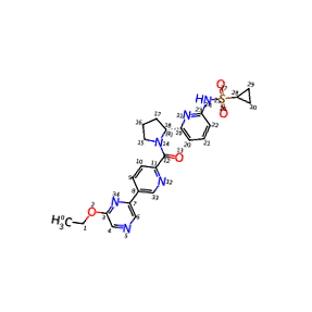 CCOc1cncc(-c2ccc(C(=O)N3CCC[C@@H]3c3cccc(NS(=O)(=O)C4CC4)n3)nc2)n1